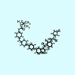 CC(C)(C)OC(=O)CN1CCN(CC2CCN(c3ccc(-c4cnc5[nH]cc(C(=O)c6c(F)ccc(N[S+]([O-])N7CCC(F)C7)c6F)c5c4)cc3)CC2)CC1